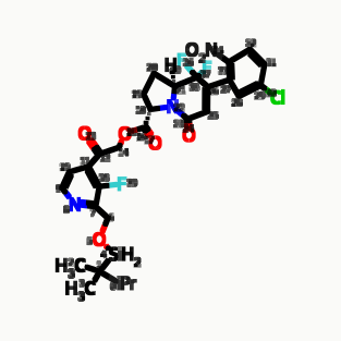 CC(C)C(C)(C)[SiH2]OCc1nccc(C(=O)COC(=O)[C@@H]2CC[C@@H]3N2C(=O)C=C(c2cc(Cl)ccc2[N+](=O)[O-])C3(F)F)c1F